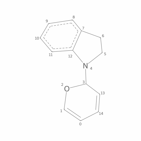 C1=COC(N2CCc3ccccc32)C=C1